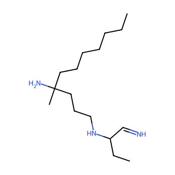 CCCCCCCC(C)(N)CCCNC(C=N)CC